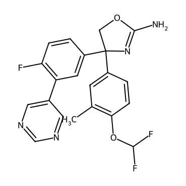 Cc1cc(C2(c3ccc(F)c(-c4cncnc4)c3)COC(N)=N2)ccc1OC(F)F